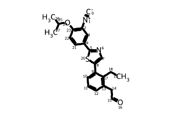 [C-]#[N+]c1cc(-c2ncc(-c3cccc(CC=O)c3CC)s2)ccc1OC(C)C